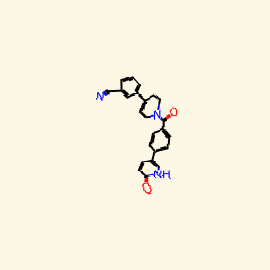 N#Cc1cccc(C2=CCN(C(=O)c3ccc(-c4ccc(=O)[nH]c4)cc3)CC2)c1